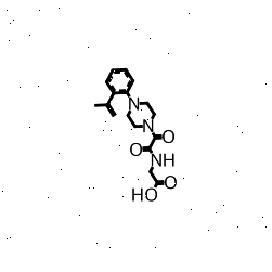 C=C(C)c1ccccc1N1CCN(C(=O)C(=O)NCC(=O)O)CC1